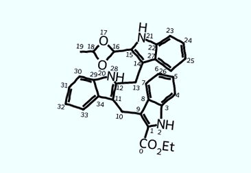 CCOC(=O)c1[nH]c2ccccc2c1Cc1c(Cc2c(C3OC(C)O3)[nH]c3ccccc23)[nH]c2ccccc12